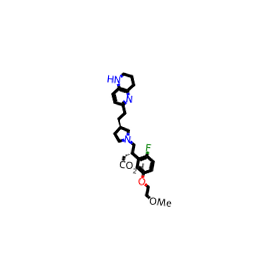 COCCOc1ccc(F)c([C@H](CC(=O)O)CN2CC[C@@H](CCc3ccc4c(n3)CCCN4)C2)c1